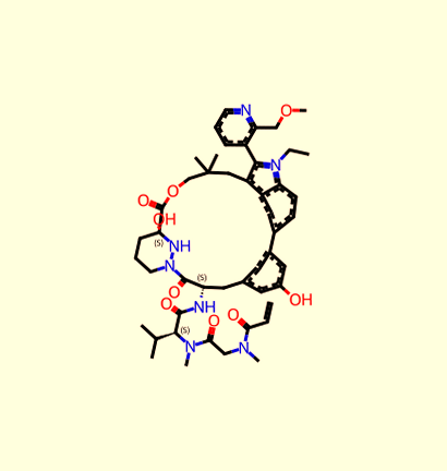 C=CC(=O)N(C)CC(=O)N(C)[C@H](C(=O)N[C@H]1Cc2cc(O)cc(c2)-c2ccc3c(c2)c(c(-c2cccnc2COC)n3CC)CC(C)(C)COC(=O)[C@@]2(O)CCCN(N2)C1=O)C(C)C